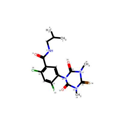 CC(C)CNC(=O)c1cc(-n2c(=O)n(C)c(=S)n(C)c2=O)c(F)cc1Cl